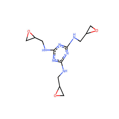 C(Nc1nc(NCC2CO2)nc(NCC2CO2)n1)C1CO1